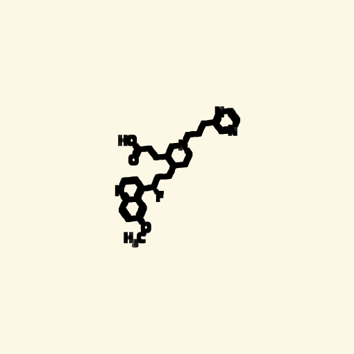 COc1ccc2nccc([C@@H](F)CCC3CCN(CCCc4cnccn4)CC3CCC(=O)O)c2c1